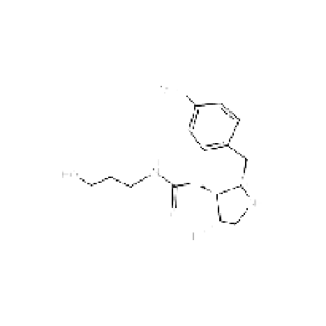 COc1ccc(C[C@H]2NC[C@H](O)[C@H]2OC(=O)NCCCO)cc1